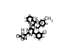 CC1CCC(Cn2c(C(C)(F)c3ccccn3)nc3nc(-c4noc(=O)[nH]4)nc(-c4cccc(Cl)c4)c32)CC1